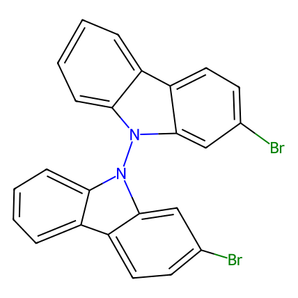 Brc1ccc2c3ccccc3n(-n3c4ccccc4c4ccc(Br)cc43)c2c1